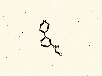 O=CNc1cccc(-c2ccncc2)c1